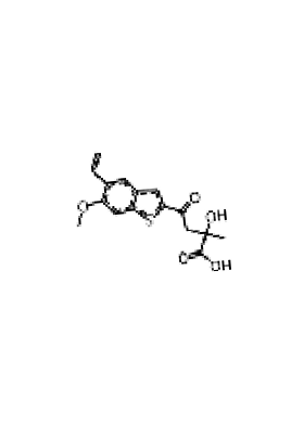 C=Cc1cc2cc(C(=O)CC(C)(O)C(=O)O)sc2cc1OC